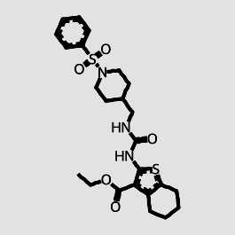 CCOC(=O)c1c(NC(=O)NCC2CCN(S(=O)(=O)c3ccccc3)CC2)sc2c1CCCC2